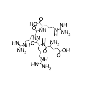 N=C(N)NCCC[C@H](NC(=O)[C@H](CCCNC(=N)N)NC(=O)[C@H](CCCNC(=N)N)NC(=O)[C@@H](N)CCC(=O)O)C(=O)O